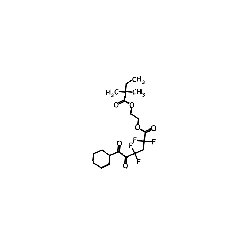 CCC(C)(C)C(=O)OCCOC(=O)C(F)(F)CC(F)(F)C(=O)C(=O)C1CCCCC1